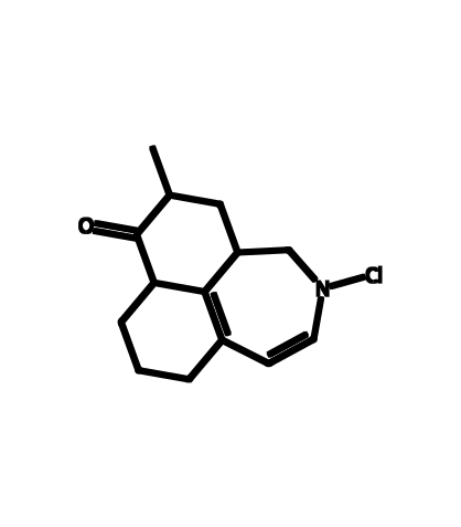 CC1CC2CN(Cl)C=CC3=C2C(CCC3)C1=O